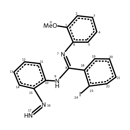 COc1ccccc1/N=C(/Nc1ccccc1N=N)c1ccccc1I